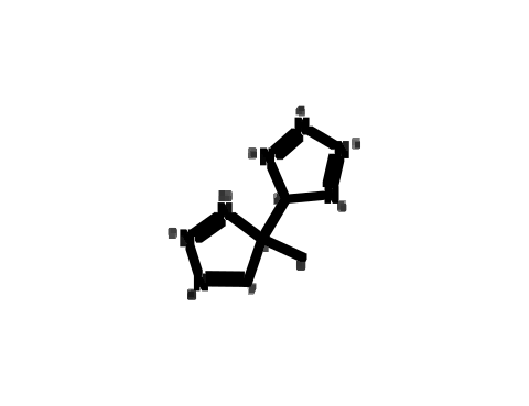 CC1(C2N=NN=N2)C=NN=N1